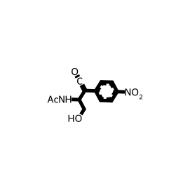 CC(=O)NC(CO)C(=C=O)c1ccc([N+](=O)[O-])cc1